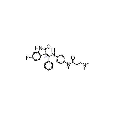 CN(C)CCC(=O)N(C)c1ccc(N/C(=C2\C(=O)Nc3cc(F)ccc32)c2ccccc2)cc1